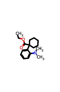 CCOC(=O)C1(c2ccccc2N(C)C)CCCCC1